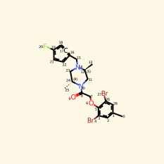 Cc1cc(Br)c(OCC(=O)N2C[C@H](C)N(Cc3ccc(F)cc3)C[C@H]2C)c(Br)c1